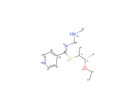 CCO[C@@H](C)C(C)S/C(=N\CNC)c1ccncc1